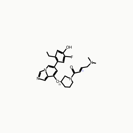 CCc1cc(O)c(F)cc1-c1cc(O[C@H]2CCCN(C(=O)/C=C/CN(C)C)C2)c2cncn2c1